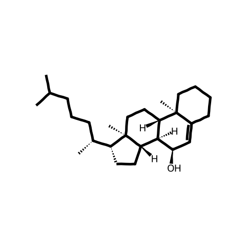 CC(C)CCC[C@@H](C)[C@H]1CC[C@H]2[C@@H]3[C@H](O)C=C4CCCC[C@]4(C)[C@H]3CC[C@]12C